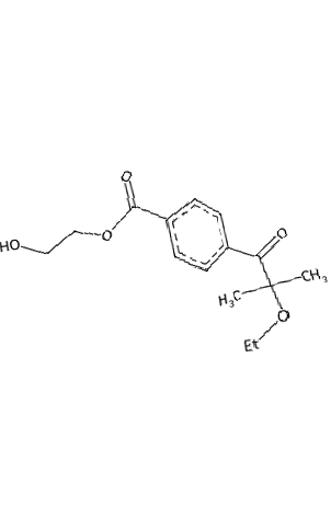 CCOC(C)(C)C(=O)c1ccc(C(=O)OCCO)cc1